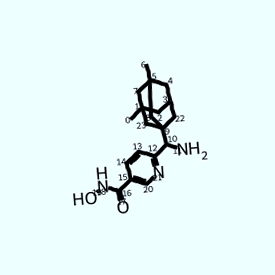 CC12CC3CC(C)(C1)CC(C(N)c1ccc(C(=O)NO)cn1)(C3)C2